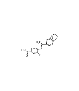 CC(=Cc1ccc(C(=O)O)cc1F)c1ccc2c(c1)C1CCC2C1